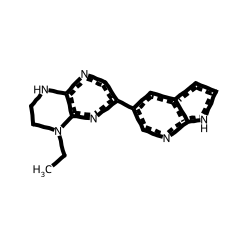 CCN1CCNc2ncc(-c3cnc4[nH]ccc4c3)nc21